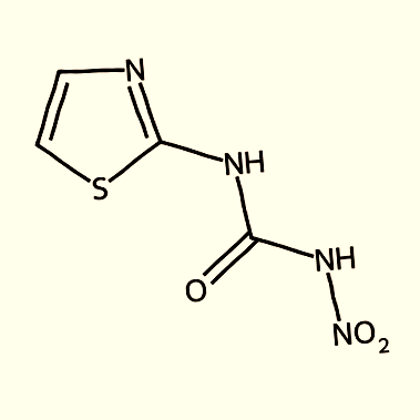 O=C(Nc1nccs1)N[N+](=O)[O-]